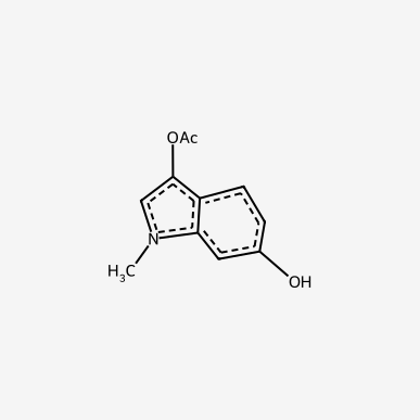 CC(=O)Oc1cn(C)c2cc(O)ccc12